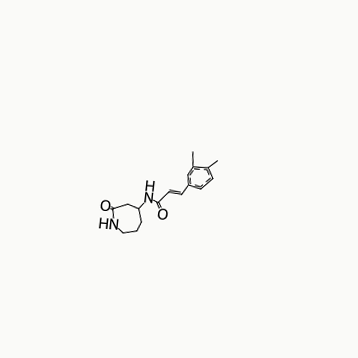 Cc1ccc(C=CC(=O)NC2CCCNC(=O)C2)cc1C